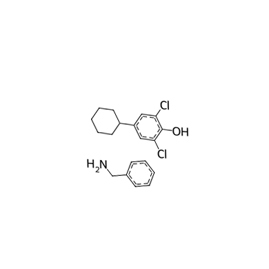 NCc1ccccc1.Oc1c(Cl)cc(C2CCCCC2)cc1Cl